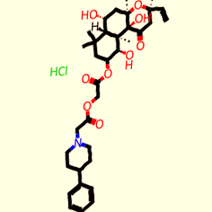 C=C[C@@]1(C)CC(=O)[C@]2(O)[C@@]3(C)[C@@H](O)C(OC(=O)COC(=O)CN4CCC(c5ccccc5)CC4)CC(C)(C)[C@@H]3[C@H](O)C[C@@]2(C)O1.Cl